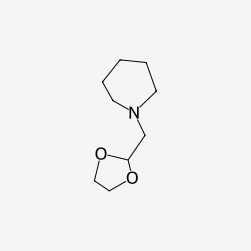 C1CCN(CC2OCCO2)CC1